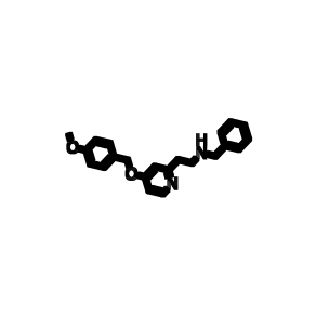 COc1ccc(COc2ccnc(CCNCc3ccccc3)c2)cc1